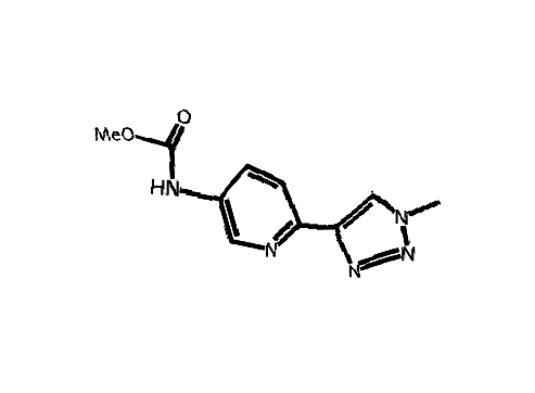 COC(=O)Nc1ccc(-c2[c]n(C)nn2)nc1